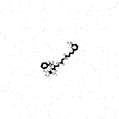 CC(C)(C)OC(=O)C(CNC(=O)CNC(=O)CCCc1cccc(N)n1)NS(=O)(=O)c1ccccc1